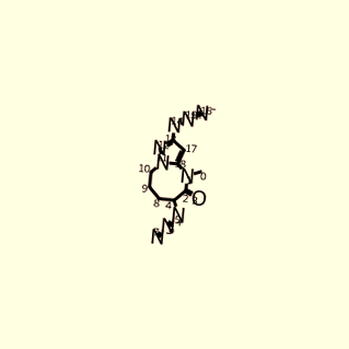 CN1C(=O)C(N=[N+]=[N-])CCCn2nc(N=[N+]=[N-])cc21